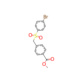 COC(=O)c1ccc(CS(=O)(=O)c2ccc(Br)cc2)cc1